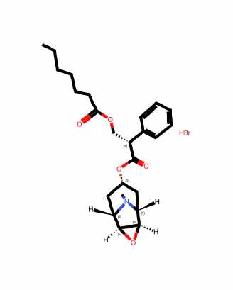 Br.CCCCCCC(=O)OC[C@@H](C(=O)O[C@@H]1C[C@@H]2[C@H]3O[C@H]3[C@H](C1)N2C)c1ccccc1